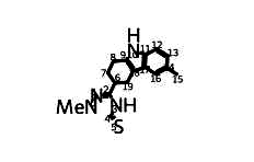 CN/N=C(\NC=S)C1CCc2[nH]c3ccc(C)cc3c2C1